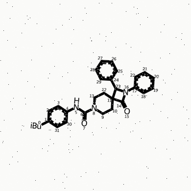 CCC(C)c1ccc(NC(=O)N2CCC3(CC2)C(=O)N(c2ccccc2)C3c2ccccc2)cc1